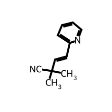 CC(C)(C#N)/C=C/c1ccccn1